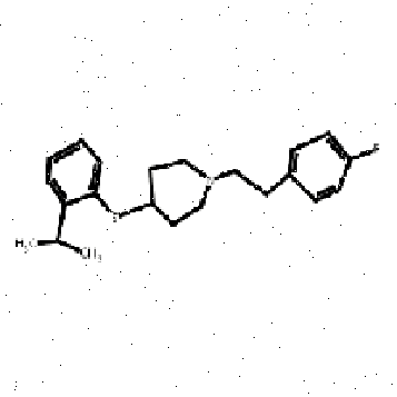 CC(C)c1ccccc1SC1CCN(CCc2ccc(F)cc2)CC1